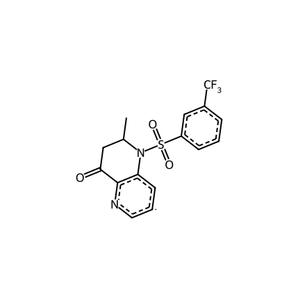 CC1CC(=O)c2nc[c]cc2N1S(=O)(=O)c1cccc(C(F)(F)F)c1